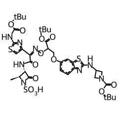 C[C@H]1[C@H](NC(=O)/C(=N\OC(COc2ccc3nc(NC4CN(C(=O)OC(C)(C)C)C4)sc3c2)C(=O)OC(C)(C)C)c2csc(NC(=O)OC(C)(C)C)n2)C(=O)N1S(=O)(=O)O